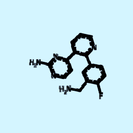 NCc1cc(-c2ncccc2-c2ccnc(N)n2)ccc1F